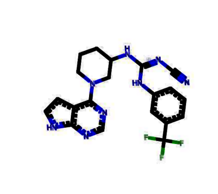 N#C/N=C(\Nc1cccc(C(F)(F)F)c1)NC1CCCN(c2ncnc3[nH]ccc23)C1